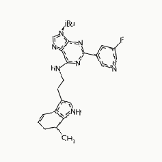 CC[C@H](C)n1cnc2c(NCCc3c[nH]c4c3C=CCC4C)nc(-c3cncc(F)c3)nc21